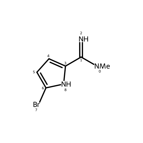 CNC(=N)c1ccc(Br)[nH]1